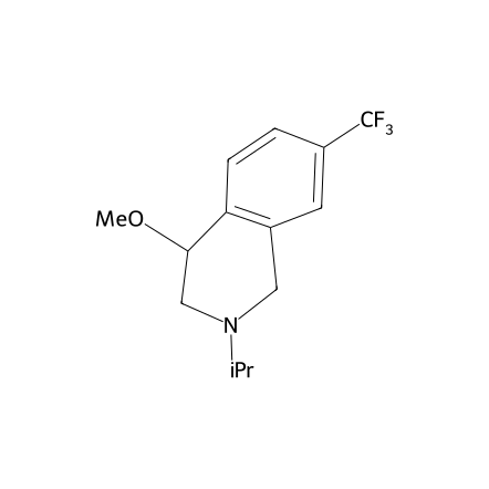 COC1CN(C(C)C)Cc2cc(C(F)(F)F)ccc21